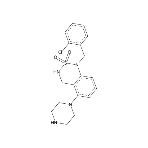 O=S1(=O)NCc2c(N3CCNCC3)cccc2N1Cc1ccccc1Cl